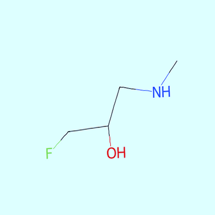 CNCC(O)CF